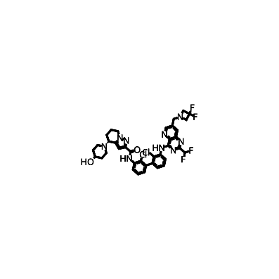 O=C(Nc1cccc(-c2cccc(Nc3nc(C(F)F)nc4cc(CN5CC(F)(F)C5)cnc34)c2Cl)c1Cl)c1cc2n(n1)CCC[C@H]2N1CCC(O)CC1